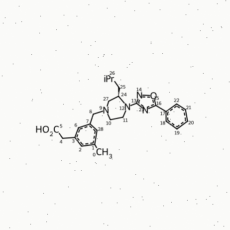 Cc1cc(CC(=O)O)cc(CN2CCN(c3noc(-c4ccccc4)n3)[C@H](CC(C)C)C2)c1